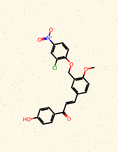 COc1ccc(/C=C/C(=O)c2ccc(O)cc2)cc1COc1ccc([N+](=O)[O-])cc1Cl